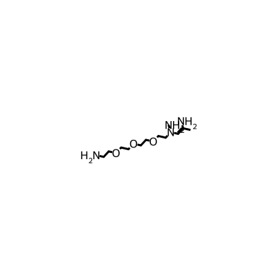 C/C(N)=C/N(N)CCOCCOCCOCCN